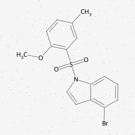 COc1ccc(C)cc1S(=O)(=O)n1ccc2c(Br)cccc21